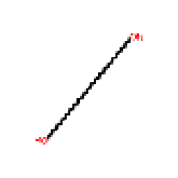 OCCCCCCCCCCCCCCCCCCCCCCCCCCCCCCCCCCCCCCCCO